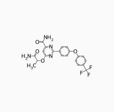 CC(Oc1cc(C(N)=O)nc(-c2ccc(Oc3ccc(C(F)(F)F)cc3)cc2)n1)C(N)=O